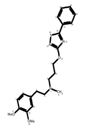 COc1ccc(CCN(C)CCCOc2nsc(-c3ccccc3)n2)cc1OC